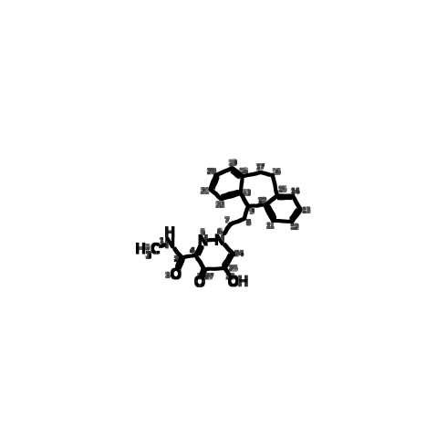 CNC(=O)c1nn(CCC2c3ccccc3CCc3ccccc32)cc(O)c1=O